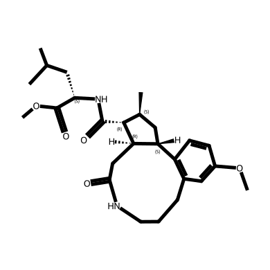 COC(=O)[C@H](CC(C)C)NC(=O)[C@H]1[C@@H]2CC(=O)NCCCc3cc(OC)ccc3[C@H]2C[C@@H]1C